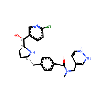 CN(CC1=CNNC=C1)C(=O)c1ccc(C[C@@H]2CC[C@H]([C@H](O)c3ccc(Cl)nc3)N2)cc1